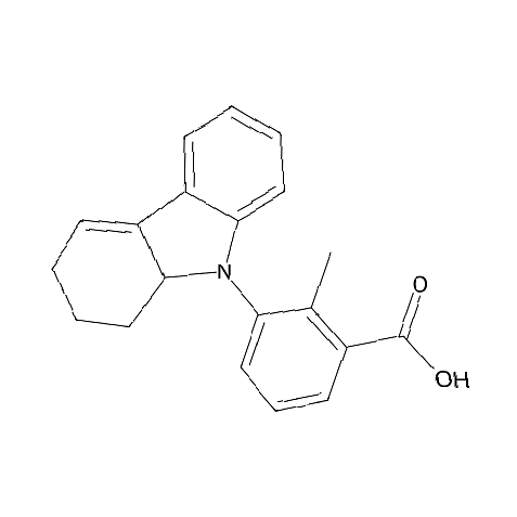 Cc1c(C(=O)O)cccc1N1c2ccccc2C2=CCCCC21